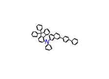 c1ccc(-c2ccc(-c3ccc4ccc(N(c5ccccc5)c5cccc6c5-c5ccccc5C6(c5ccccc5)c5ccccc5)cc4c3)cc2)cc1